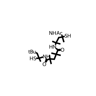 CC(=O)NC(C)(S)CC(C)(C)NC(=O)C(C)(C)CC(C)(C)C(=O)NC(C)(S)CC(C)(C)C